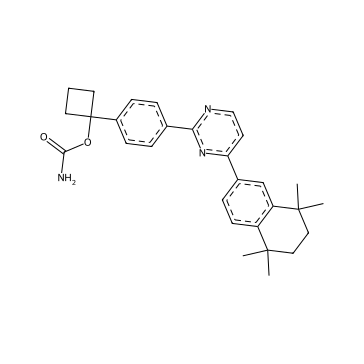 CC1(C)CCC(C)(C)c2cc(-c3ccnc(-c4ccc(C5(OC(N)=O)CCC5)cc4)n3)ccc21